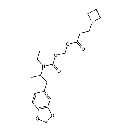 CCN(C(=O)OCOC(=O)CCN1CCC1)C(C)Cc1ccc2c(c1)OCO2